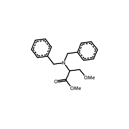 COCC(C(=O)OC)N(Cc1ccccc1)Cc1ccccc1